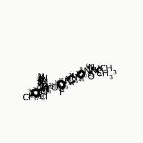 CCC(C)n1ncn(-c2ccc(N3CCN(c4ccc(OC[C@@H]5CO[C@@](Cn6cnnn6)(c6ccc(Cl)cc6Cl)O5)c(F)c4)CC3)cc2)c1=O